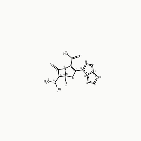 C[C@@H](O)[C@H]1C(=O)N2C(C(=O)O)=C(c3ncc4sccn34)C[C@H]12